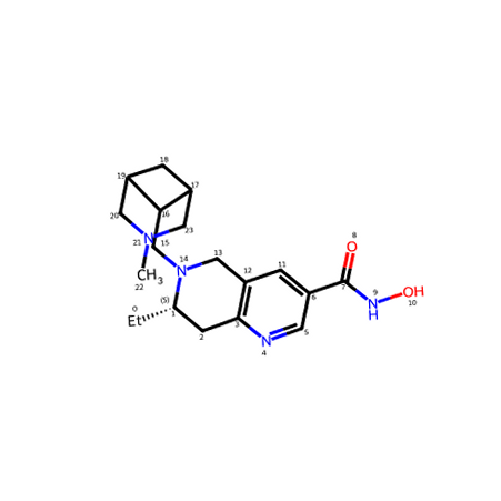 CC[C@H]1Cc2ncc(C(=O)NO)cc2CN1CC1C2CC1CN(C)C2